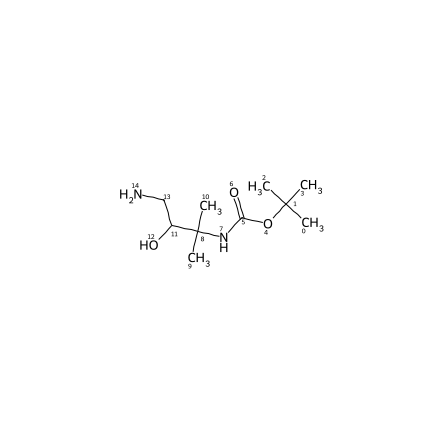 CC(C)(C)OC(=O)NC(C)(C)C(O)CN